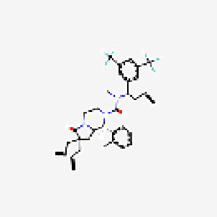 C=CCC(c1cc(C(F)(F)F)cc(C(F)(F)F)c1)N(C)C(=O)N1CCN2C(=O)C(CC=C)(CC=C)C[C@H]2[C@@H]1c1ccccc1C